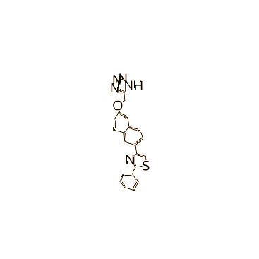 c1ccc(-c2nc(-c3ccc4cc(OCc5nnn[nH]5)ccc4c3)cs2)cc1